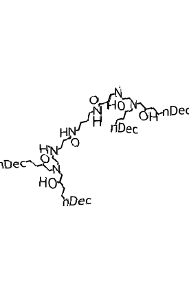 CCCCCCCCCCCCC(O)CN(CCN(C)CCC(=O)NCCCCNC(=O)CCN(C)CCN(CC(O)CCCCCCCCCCCC)CC(O)CCCCCCCCCCCC)CC(O)CCCCCCCCCCCC